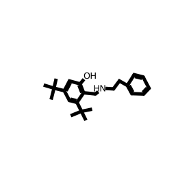 CC(C)(C)c1cc(O)c(CNCCc2ccccc2)c(C(C)(C)C)c1